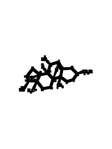 CCOC(=O)[C@H]1CC[C@@]2(C)C(=C[C@H](O)[C@H]3[C@@H]4CC[C@H](O)[C@@]4(C)CC[C@@H]32)C1